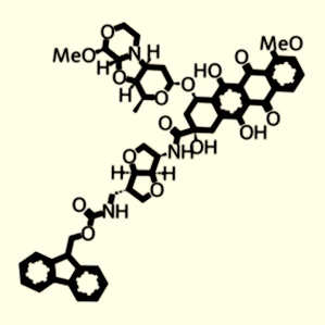 COc1cccc2c1C(=O)c1c(O)c3c(c(O)c1C2=O)C[C@@](O)(C(=O)N[C@H]1CO[C@@H]2[C@@H](CNC(=O)OCC4c5ccccc5-c5ccccc54)CO[C@@H]21)C[C@@H]3O[C@H]1C[C@H]2[C@H](O[C@@H]3[C@@H](OC)OCCN32)[C@H](C)O1